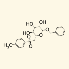 Cc1ccc(S(=O)(=O)C[C@H]2O[C@H](OCc3ccccc3)[C@@H](O)[C@@H](O)[C@@H]2O)cc1